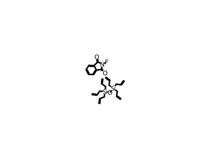 C=CC[Si](CC=C)(CC=C)O[Si](CC=C)(CC=C)CC=C.O=C1c2ccccc2C(=O)N1F